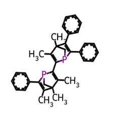 CC1=C(C2=C(C)C3(C)CP2C(c2ccccc2)=C3c2ccccc2)P2CC1(C)C(C)=C2c1ccccc1